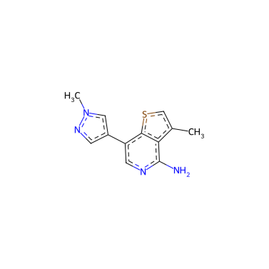 Cc1csc2c(-c3cnn(C)c3)cnc(N)c12